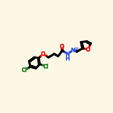 O=C(CCCOc1ccc(Cl)cc1Cl)N/N=C/c1ccco1